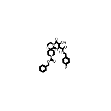 O=C(NCc1ccc(F)cc1)c1nc2n(c(=O)c1O)CCOC21CCN(C(=O)OCc2ccccc2)CC1